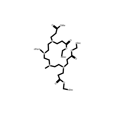 CCCCCCCCCCCOC(=O)CCN(CCC(=O)OCCCCCCCCCCC)CCN(C)CCN(CCCCC)CCN(CCC(=O)OC)CCC(=O)OCCCCCCCCCCC